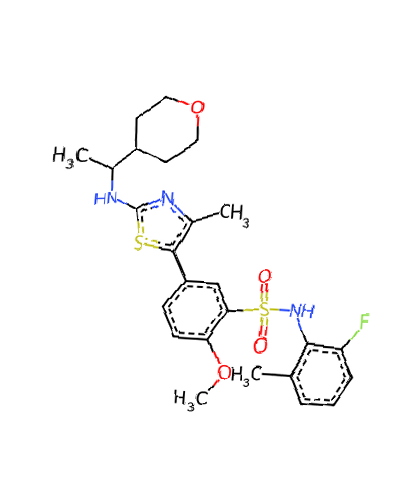 COc1ccc(-c2sc(NC(C)C3CCOCC3)nc2C)cc1S(=O)(=O)Nc1c(C)cccc1F